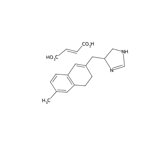 Cc1ccc2c(c1)CCC(CC1CNC=N1)=C2.O=C(O)/C=C/C(=O)O